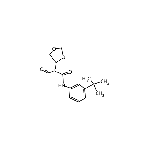 CC(C)(C)c1cccc(NC(=O)N(C=O)C2COCO2)c1